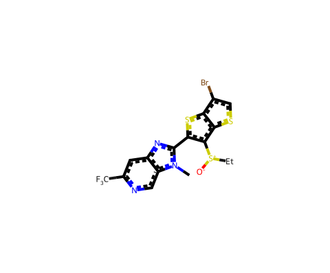 CC[S+]([O-])c1c(-c2nc3cc(C(F)(F)F)ncc3n2C)sc2c(Br)csc12